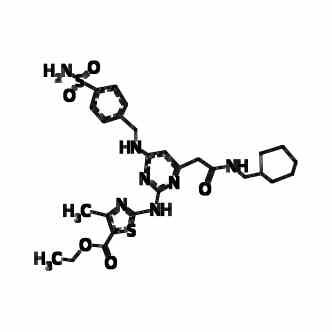 CCOC(=O)c1sc(Nc2nc(CC(=O)NCC3CCCCC3)cc(NCc3ccc(S(N)(=O)=O)cc3)n2)nc1C